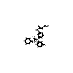 COCC(C)Nc1nccc(N(C(=O)NC2CCCCC2)c2cccc(C)c2)n1